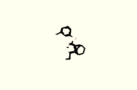 O=C(O)c1nnc(Nc2cccc(Cl)c2)c2c1C1CCC2CC1